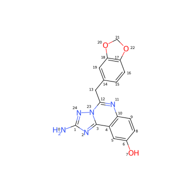 Nc1nc2c3cc(O)ccc3nc(Cc3ccc4c(c3)OCO4)n2n1